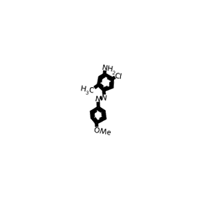 COc1ccc(N=Nc2cc(Cl)c(N)cc2C)cc1